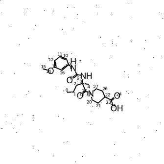 CCCC(C)(NC(=O)Nc1cccc(OC)c1)C(=O)N1CCC(C(=O)O)CC1